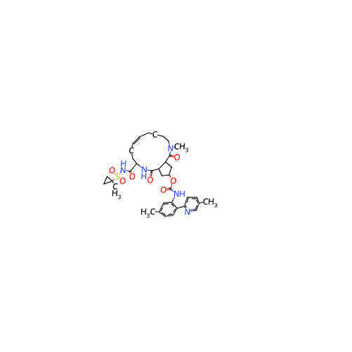 Cc1ccc(-c2ccc(C)cc2NC(=O)OC2CC3C(=O)NC(C(=O)NS(=O)(=O)C4(C)CC4)CCC=CCCCCN(C)C(=O)C3C2)nc1